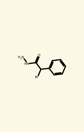 NNC(=O)C(Br)c1ccccc1